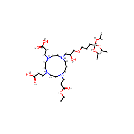 CCOC(=O)CCN1CCCN(CC(O)COCCC[Si](OCC)(OCC)OCC)CCN(CCC(=O)O)CCN(CCC(=O)O)CC1